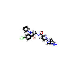 O=C(NCc1cn(-c2ccccc2)c2cc(Cl)ccc2c1=O)c1ccc(N2CC3NCC4CC432)nc1